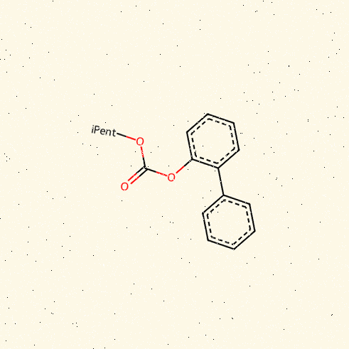 CCCC(C)OC(=O)Oc1ccccc1-c1ccccc1